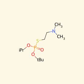 CC(C)OP(=O)(OC(C)(C)C)SCCN(C)C